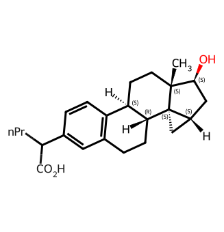 CCCC(C(=O)O)c1ccc2c(c1)CC[C@@H]1[C@@H]2CC[C@]2(C)[C@@H](O)C[C@@H]3C[C@]312